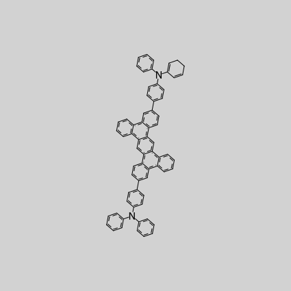 C1=CC(N(c2ccccc2)c2ccc(-c3ccc4c(c3)c3ccccc3c3cc5c6ccc(-c7ccc(N(c8ccccc8)c8ccccc8)cc7)cc6c6ccccc6c5cc43)cc2)=CCC1